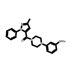 CNc1cccc(N2CCN(C(=O)c3cc(C)nn3-c3ccccc3)CC2)c1